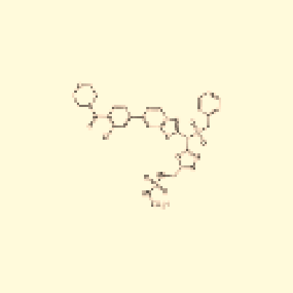 O=C(O)NS(=O)(=O)NCc1nnc(C(c2nc3ccc(-c4ccc(C(=O)N5CCOCC5)c(Cl)c4)cc3s2)S(=O)(=O)Cc2ccccc2)o1